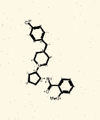 COc1ccccc1C(=O)N[C@@H]1CCC[C@H]1N1CCC(Cc2ccc(Cl)cc2)CC1